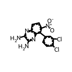 Nc1nc2ccc([N+](=O)[O-])c(-c3ccc(Cl)c(Cl)c3)c2nc1N